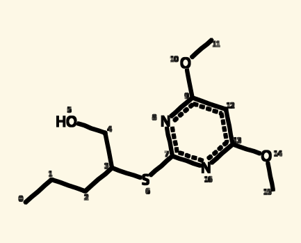 CCCC(CO)Sc1nc(OC)cc(OC)n1